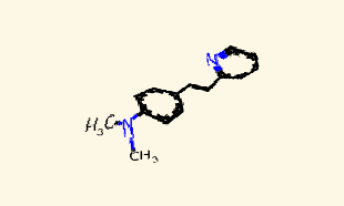 CN(C)c1ccc(C=Cc2ccccn2)cc1